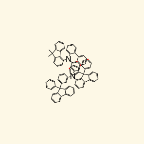 CC1(C)c2ccccc2-c2c(N(c3cccc(N(c4cccc(C5(c6ccccc6)c6ccccc6-c6ccccc65)c4)c4cccc5c4C(c4ccccc4)(c4ccccc4)c4ccccc4-5)c3)c3ccccc3-c3ccccc3)cccc21